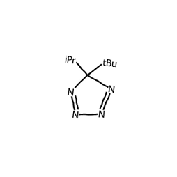 CC(C)C1(C(C)(C)C)N=NN=N1